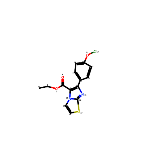 CCOC(=O)c1c(-c2ccc(OCl)cc2)nc2sccn12